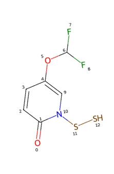 O=c1ccc(OC(F)F)cn1SS